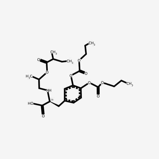 CCCOC(=O)Oc1ccc(C[C@H](NCC(C)OC(=O)C(C)CC)C(=O)O)cc1OC(=O)OCCC